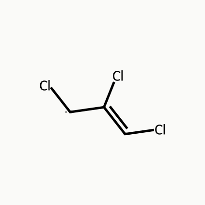 Cl[CH]C(Cl)=CCl